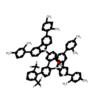 Cc1ccc(-c2ccc3c(c2)c2cc(-c4ccc(C)cc4C)ccc2n3-c2ccc(C#N)c(-c3cc(-c4c(C(F)(F)F)cccc4C(F)(F)F)ccc3-n3c4ccc(-c5ccc(C)cc5C)cc4c4cc(-c5ccc(C)cc5C)ccc43)c2)c(C)c1